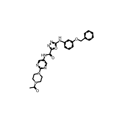 CC(=O)N1CCN(c2ncc(NC(=O)c3nnc(Nc4cccc(OCc5ccccc5)c4)o3)cn2)CC1